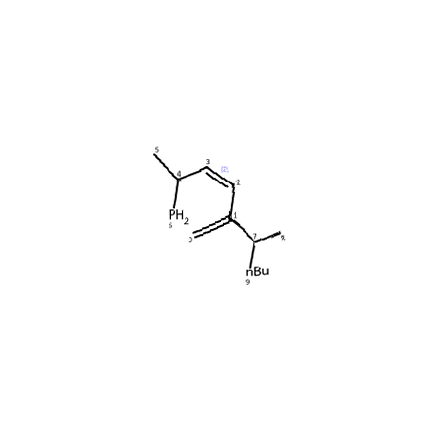 C=C(/C=C\C(C)P)C(C)CCCC